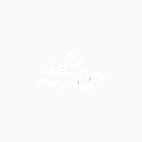 CCOC(=O)C[C@H](NC(=O)OC(C)(C)C)c1cc(-c2c(C)cc(F)cc2O)cc(C(F)(F)F)c1F